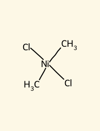 [CH3][Ni]([CH3])([Cl])[Cl]